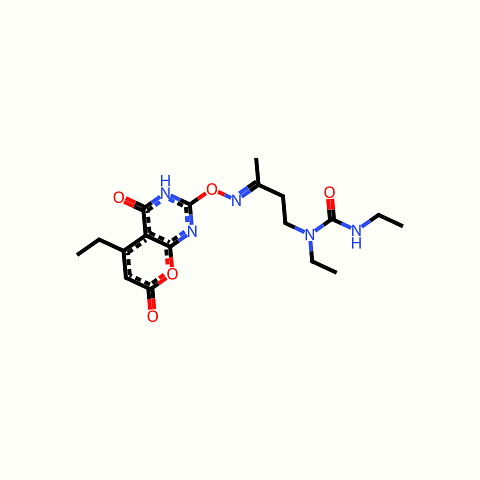 CCNC(=O)N(CC)CC/C(C)=N/Oc1nc2oc(=O)cc(CC)c2c(=O)[nH]1